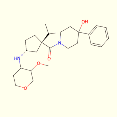 COC1COCCC1N[C@@H]1CC[C@@](C(=O)N2CCC(O)(c3ccccc3)CC2)(C(C)C)C1